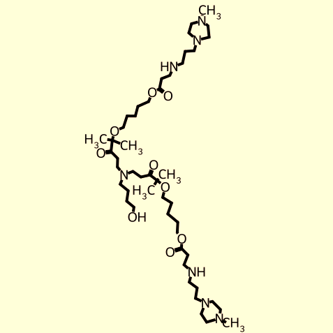 CN1CCN(CCCNCCC(=O)OCCCCCOC(C)(C)C(=O)CCN(CCCCO)CCC(=O)C(C)(C)OCCCCCOC(=O)CCNCCCN2CCN(C)CC2)CC1